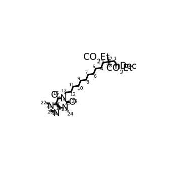 CCCCCCCCCCCC(CCCCCCCCCCCn1c(=O)c2c(ncn2C)n(C)c1=O)(C(=O)OCC)C(=O)OCC